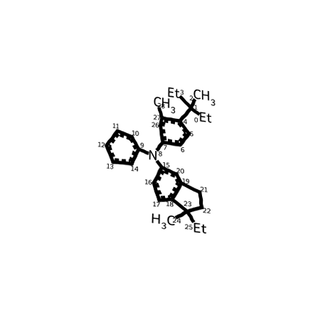 CCC(C)(CC)c1ccc(N(c2ccccc2)c2ccc3c(c2)CCC3(C)CC)cc1C